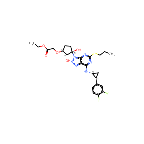 CCCSc1nc(N[C@@H]2C[C@H]2c2ccc(F)c(F)c2)c2nnn([C@@]3(O)CC[C@H](OCC(=O)OCC)[C@H]3O)c2n1